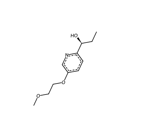 CC[C@H](O)c1ccc(OCCOC)cn1